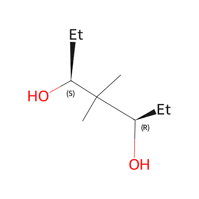 CC[C@@H](O)C(C)(C)[C@@H](O)CC